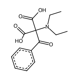 CCN(CC)C(C(=O)O)(C(=O)O)C(=O)c1ccccc1